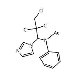 CC(=O)N(c1ccccc1)C(n1ccnc1)C(Cl)(Cl)CCl